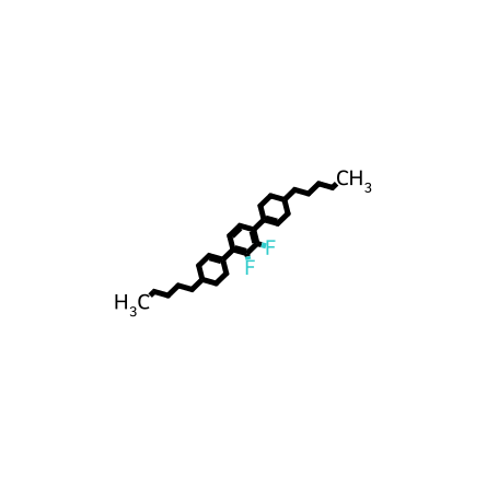 CCCCCC1CC=C(c2ccc(C3=CCC(CCCCC)CC3)c(F)c2F)CC1